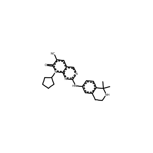 CC1(C)NCCc2cc(Nc3ncc4cc(C#N)c(=O)n(C5CCCC5)c4n3)ccc21